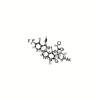 C#C[C@@H](Nc1ncnc2c1cc(C1(NC(=O)CCl)CCN(C(C)=O)CC1)c(=O)n2C)c1cccc(C(F)(F)F)c1C